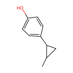 CC1CC1c1ccc(O)cc1